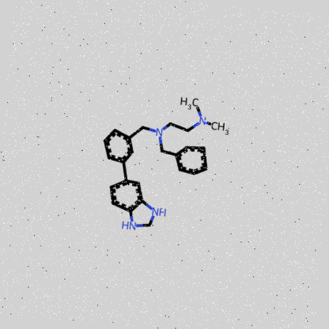 CN(C)CCN(Cc1ccccc1)Cc1cccc(-c2ccc3c(c2)N[CH]N3)c1